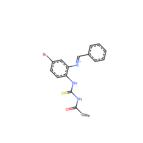 COC(=O)NC(=S)Nc1ccc(Br)cc1/N=C/c1ccccc1